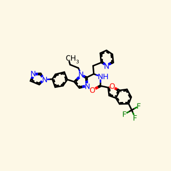 CCCn1c(-c2ccc(-n3ccnc3)cc2)cnc1C(Cc1ccccn1)NC(=O)c1cc2cc(C(F)(F)F)ccc2o1